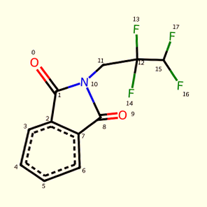 O=C1c2ccccc2C(=O)N1CC(F)(F)C(F)F